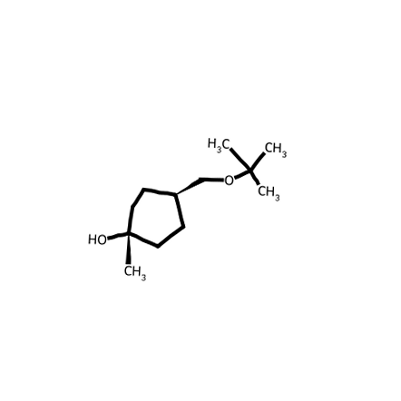 CC(C)(C)OC[C@H]1CC[C@](C)(O)CC1